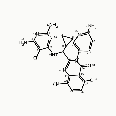 Nc1cnc(-n2c(C(Nc3nc(N)nc(N)c3Cl)C3CC3)nc3c(Cl)ccc(Cl)c3c2=O)cn1